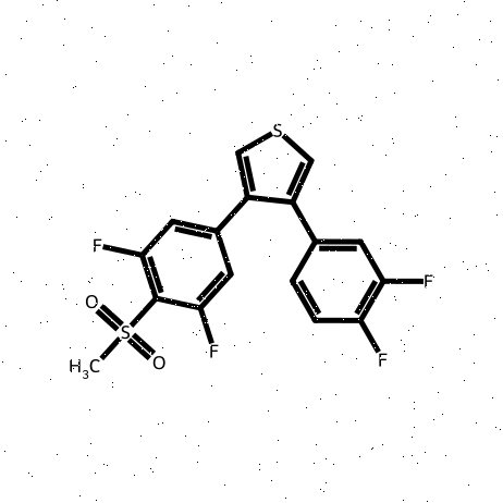 CS(=O)(=O)c1c(F)cc(-c2cscc2-c2ccc(F)c(F)c2)cc1F